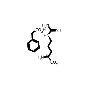 N=C(N)NCCC[C@H](N)C(=O)O.O=C(O)Cc1ccccc1